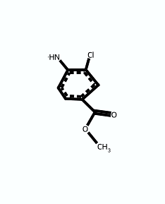 COC(=O)c1ccc([NH])c(Cl)c1